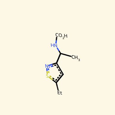 CCc1cc(C(C)NC(=O)O)ns1